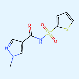 Cn1cc(C(=O)NS(=O)(=O)c2cccs2)cn1